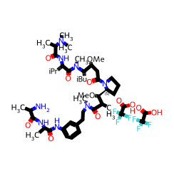 CCC(C)C(C(CC(=O)N1CCC[C@H]1C(OC)C(C)C(=O)N(C)CCc1cccc(NC(=O)C(C)NC(=O)C(C)N)c1)OC)N(C)C(=O)C(NC(=O)C(C)N(C)C)C(C)C.O=C(O)C(F)(F)F.O=C(O)C(F)(F)F